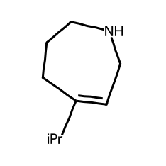 CC(C)C1=CCNCCC1